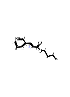 CCCCOC(=O)/C=C/c1cccnc1